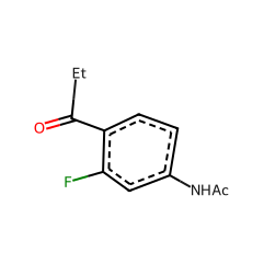 CCC(=O)c1ccc(NC(C)=O)cc1F